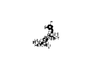 CCCC(NC(=O)Cc1cc(F)cc(F)c1)C(=O)Nc1cn(C(C)(C)C(C)(C)O)cn1